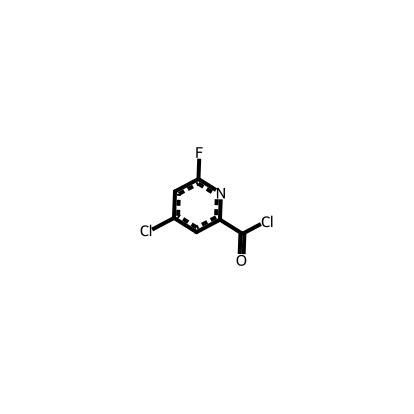 O=C(Cl)c1cc(Cl)cc(F)n1